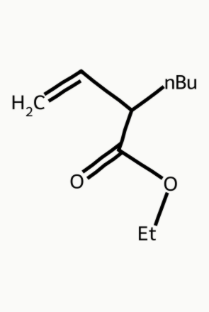 C=CC(CCCC)C(=O)OCC